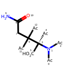 CC(=O)N(C(C)=O)[C@@](C(C)=O)(C(=O)O)C(CC(N)=O)(C(C)=O)C(C)=O